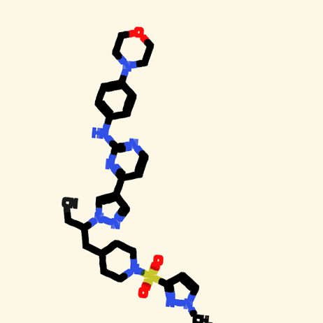 Cn1ccc(S(=O)(=O)N2CCC(CC(CC#N)n3cc(-c4ccnc(Nc5ccc(N6CCOCC6)cc5)n4)cn3)CC2)n1